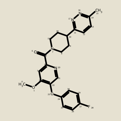 COc1cc(C(=O)N2CCC(c3ccc(C)nn3)CC2)ncc1Oc1ccc(F)cc1